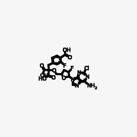 Nc1nc(Cl)nc2c1ncn2C1OC(COC(Cc2ccc(C(=O)O)c(F)c2)(C(=O)O)C(=O)O)CC1F